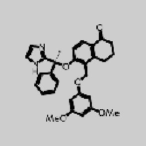 COc1cc(OC)cc(OCc2c(O[C@@](C)(c3ccccc3)c3ncc[nH]3)ccc3c2CCCC3=O)c1